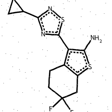 Nc1sc2c(c1-c1nc(C3CC3)ns1)CCC(F)(F)C2